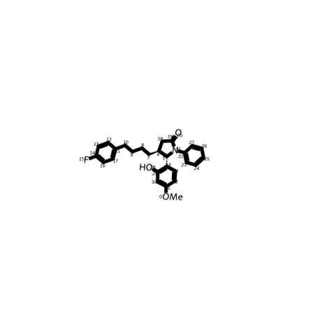 COc1ccc([C@@H]2[C@@H](CCCCc3ccc(F)cc3)CC(=O)N2c2ccccc2)c(O)c1